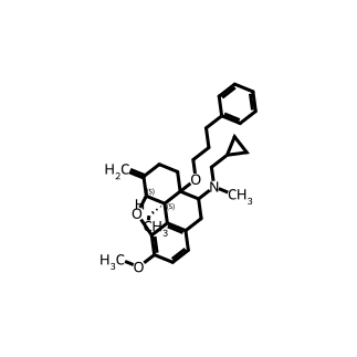 C=C1CCC2(OCCCc3ccccc3)C(N(C)CC3CC3)Cc3ccc(OC)c4c3[C@@]2(CC)[C@H]1O4